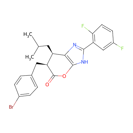 CC(C)C[C@H]1c2nc(-c3cc(F)ccc3F)[nH]c2OC(=O)[C@H]1Cc1ccc(Br)cc1